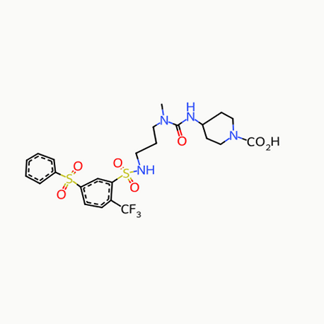 CN(CCCNS(=O)(=O)c1cc(S(=O)(=O)c2ccccc2)ccc1C(F)(F)F)C(=O)NC1CCN(C(=O)O)CC1